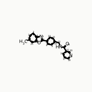 Cc1ccc2nc(-c3ccc(CNC(=O)c4cccnc4)cc3)oc2c1